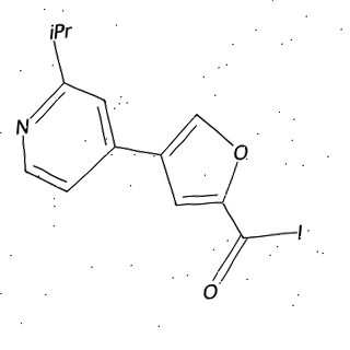 CC(C)c1cc(-c2coc(C(=O)I)c2)ccn1